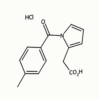 Cc1ccc(C(=O)n2cccc2CC(=O)O)cc1.Cl